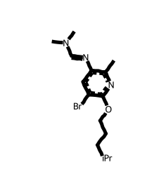 Cc1nc(OCCCC(C)C)c(Br)cc1/N=C/N(C)C